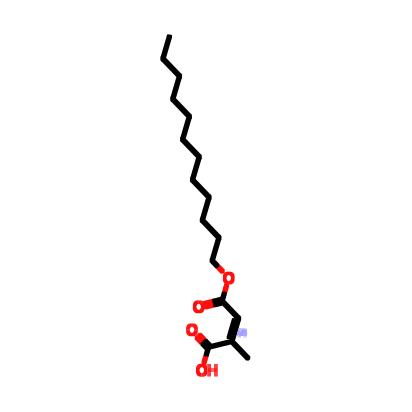 CCCCCCCCCCCCOC(=O)/C=C(/C)C(=O)O